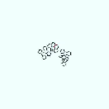 c1ccc2c(c1)-c1ccccc1C21c2ccccc2-c2c(N(c3cccc4ccccc34)c3ccc(-c4ccc5c(c4)C4(c6ccccc6-5)c5ccccc5-n5c6ccccc6c6cccc4c65)c4ccccc34)cccc21